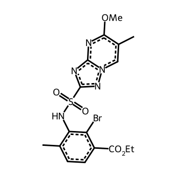 CCOC(=O)c1ccc(C)c(NS(=O)(=O)c2nc3nc(OC)c(C)cn3n2)c1Br